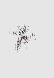 C[C@H](CCC(=O)N[C@H](CC(=O)O)C(=O)N[C@H](CC(=O)O)C(=O)N[C@H](CC(=O)O)C(=O)N[C@@H](CCCN=[N+]=[N-])C(=O)N[C@H](CC(=O)O)C(=O)N[C@H](CC(=O)O)C(=O)NC(CCCCN)C(=O)O)NC(=O)c1ccc(NCc2cnc3nc(N)nc(O)c3n2)cc1